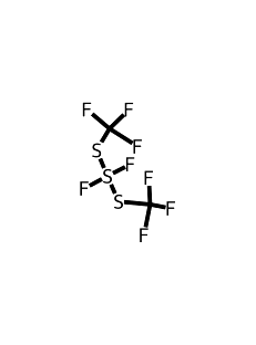 FC(F)(F)SS(F)(F)SC(F)(F)F